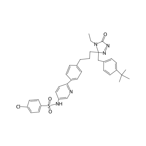 CCN1C(=O)N=NC1(CCCc1ccc(-c2ccc(NS(=O)(=O)c3ccc(Cl)cc3)cn2)cc1)Cc1ccc(C(C)(C)C)cc1